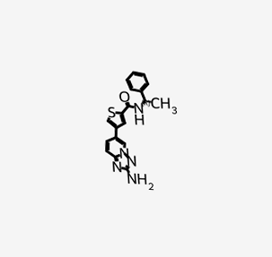 C[C@@H](NC(=O)c1cc(-c2ccc3nc(N)nn3c2)cs1)c1ccccc1